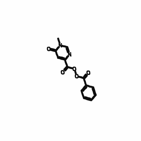 Cn1cnc(C(=O)OOC(=O)c2ccccc2)cc1=O